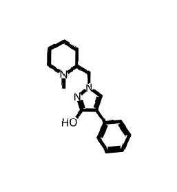 CN1CCCCC1Cn1cc(-c2ccccc2)c(O)n1